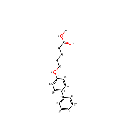 COC(=O)CCCCOc1ccc(-c2ccccc2)cc1